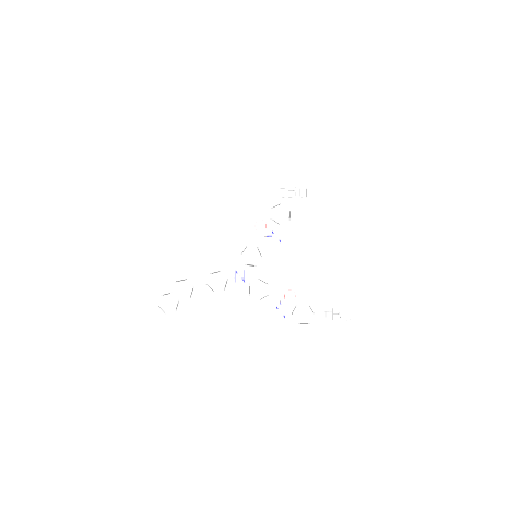 CC(C)(C)c1ccc2nc(-c3ccc4c(c3)c3cc(-c5nc6ccc(C(C)(C)C)cc6o5)ccc3n4-c3ccc(-c4ccc5ccccc5c4)cc3)oc2c1